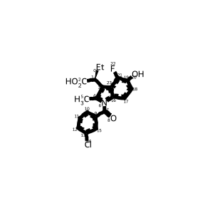 CC[C@H](C(=O)O)c1c(C)n(C(=O)c2cccc(Cl)c2)c2ccc(O)c(F)c12